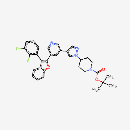 CC(C)(C)OC(=O)N1CCC(n2cc(-c3cncc(-c4oc5ccccc5c4-c4cccc(F)c4F)c3)cn2)CC1